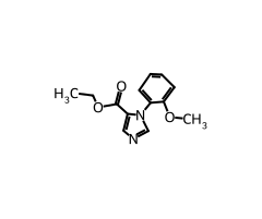 CCOC(=O)c1cncn1-c1ccccc1OC